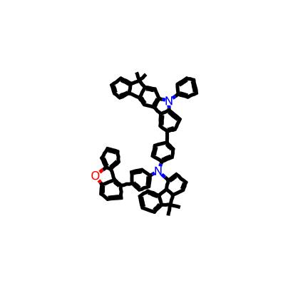 CC1(C)c2ccccc2-c2cc3c4cc(-c5ccc(N(C6=CC=CC7C6c6ccccc6C7(C)C)c6ccc(-c7cccc8oc9ccccc9c78)cc6)cc5)ccc4n(-c4ccccc4)c3cc21